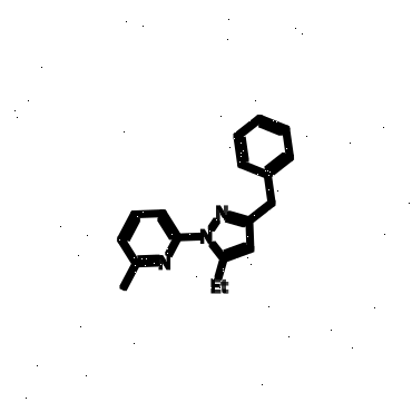 CCc1cc(Cc2ccccc2)nn1-c1cccc(C)n1